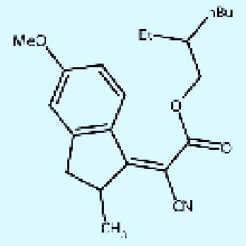 CCCCC(CC)COC(=O)C(C#N)=C1c2ccc(OC)cc2CC1C